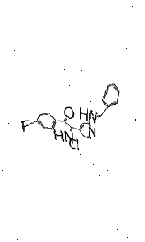 O=C(c1ccc(F)cc1)C(NCl)c1ccnc(NCc2ccccc2)c1